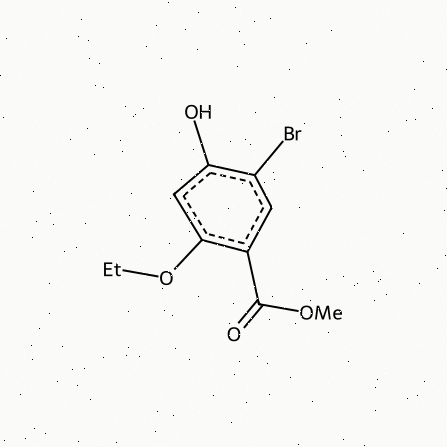 CCOc1cc(O)c(Br)cc1C(=O)OC